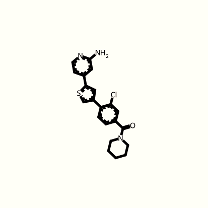 Nc1cc(-c2cc(-c3ccc(C(=O)N4CCCCC4)cc3Cl)cs2)ccn1